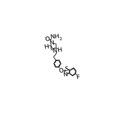 NC(=O)N1C[C@H]2C[C@@H]1CN2CCc1ccc(Oc2nc3cc(F)ccc3s2)cc1